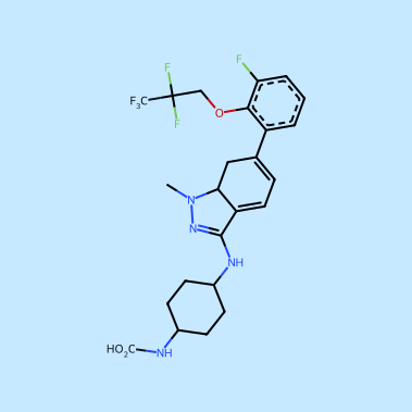 CN1N=C(NC2CCC(NC(=O)O)CC2)C2=CC=C(c3cccc(F)c3OCC(F)(F)C(F)(F)F)CC21